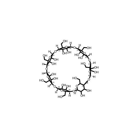 OCC1O[C@@H]2O[C@@H]3C(CO)O[C@H](O[C@@H]4C(CO)O[C@H](O[C@@H]5C(CO)O[C@H](O[C@@H]6C(CO)O[C@H](O[C@@H]7C(CO)O[C@H](O[C@@H]8C(CO)O[C@H](O[C@H]1C(O)C2O)C(O)C8O)C(O)C7O)C(O)C6O)C(O)C5O)C(O)C4O)C(O)C3O